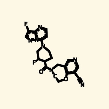 N#Cc1cncc2c1OCCN(C(=O)C1CCN(c3ccnc4c(F)cnn34)C[C@@H]1F)C2